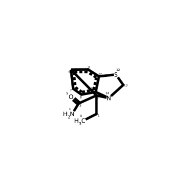 CCC1(C(N)=O)c2ccc3c(c2)SCN31